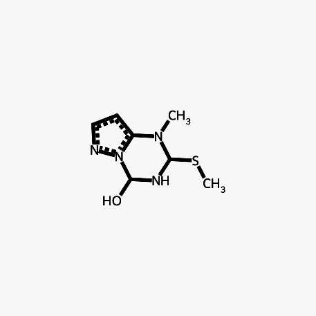 CSC1NC(O)n2nccc2N1C